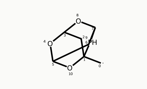 [CH2]C12CC3OC(CC(O3)P1)O2